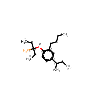 CCCCc1cc(C(C)CC)ccc1OC(P)(CC)CC